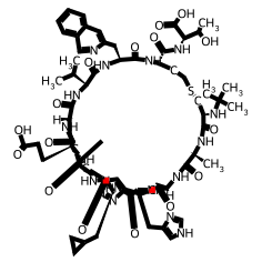 CC(C)[C@@H]1NC(=O)[C@@H]2CCCCn3cc(nn3)CC[C@H](NC(=O)[C@H](C)NC(=O)[C@@H](NC(C)(C)C)CSCC[C@@H](C(=O)N[C@H](C(=O)O)C(C)O)NC(=O)[C@H](Cc3cc4ccccc4cn3)NC1=O)C(=O)NC(Cc1c[nH]cn1)C(=O)N[C@@H](CC1CC1)C(=O)NCC(=O)N[C@@H](CCC(=O)O)C(=O)N2